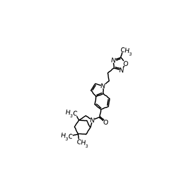 Cc1nc(CCn2ccc3cc(C(=O)N4CC5(C)CC4CC(C)(C)C5)ccc32)no1